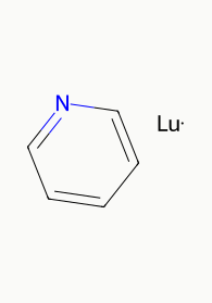 [Lu].c1ccncc1